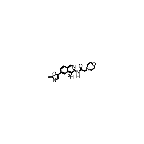 [2H]c1c(NC(=O)CN2CCOCC2)ncc2ccc(-c3cnc(C)o3)cc12